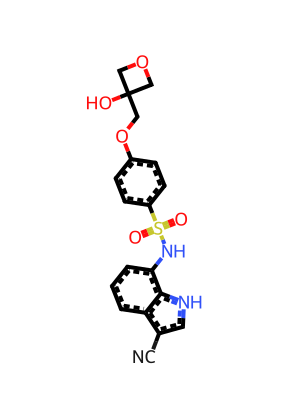 N#Cc1c[nH]c2c(NS(=O)(=O)c3ccc(OCC4(O)COC4)cc3)cccc12